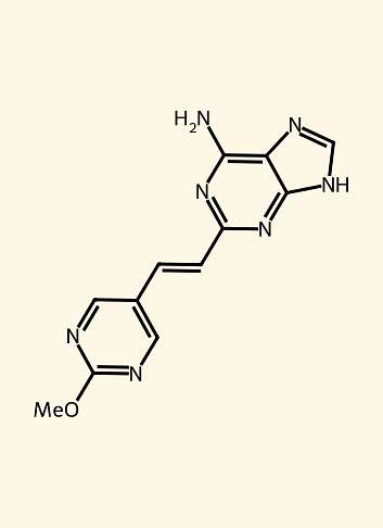 COc1ncc(C=Cc2nc(N)c3nc[nH]c3n2)cn1